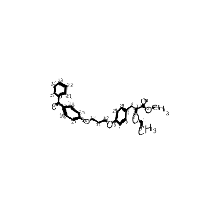 CCO[C@@H](Cc1ccc(OCCCOc2ccc(C(=O)c3ccccc3)cc2)cc1)C(=O)OC